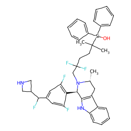 C[C@@H]1Cc2c([nH]c3ccccc23)[C@@H](c2c(F)cc(C(F)C3CNC3)cc2F)N1CC(F)(F)CCC(C)(C)[Si](O)(c1ccccc1)c1ccccc1